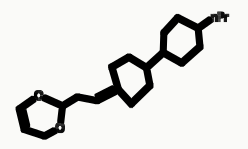 CCCC1CCC(C2CCC(=CCC3OC=CCO3)CC2)CC1